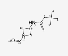 C=C(CC(C)(C)C)NC1CN(C=O)C1